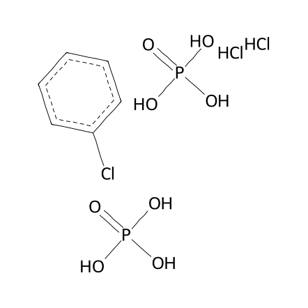 Cl.Cl.Clc1ccccc1.O=P(O)(O)O.O=P(O)(O)O